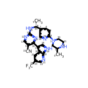 CC1CN(c2ccc([C@@H](C)Nc3ncc(C#N)c(-c4c[nH]c5ncc(C(F)(F)F)cc45)n3)cn2)CCN1